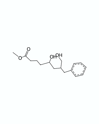 COC(=O)CCCC(O)CC(CO)Cc1ccccc1